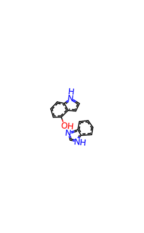 Oc1cccc2[nH]ccc12.c1ccc2[nH]cnc2c1